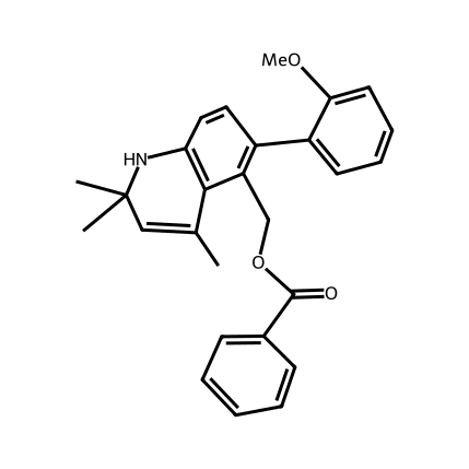 COc1ccccc1-c1ccc2c(c1COC(=O)c1ccccc1)C(C)=CC(C)(C)N2